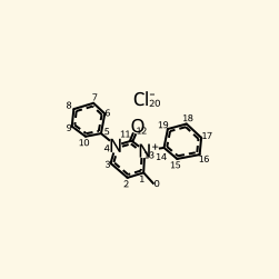 Cc1ccn(-c2ccccc2)c(=O)[n+]1-c1ccccc1.[Cl-]